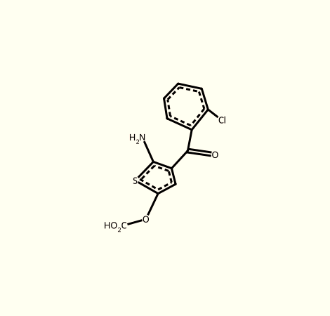 Nc1sc(OC(=O)O)cc1C(=O)c1ccccc1Cl